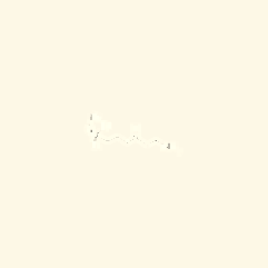 CC[Si](CC)(CCCNCCN)OC(C)C